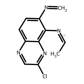 C=Nc1ccc2ncc(Cl)nc2c1/N=C\C